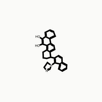 Oc1c(O)c2c3c(ccc2c2ccccc12)C(c1ccc2ccccc2c1N1C=NCC1)CCC3